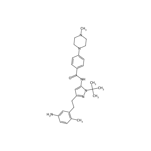 Cc1ccc(N)cc1CCc1cc(NC(=O)c2ccc(N3CCN(C)CC3)cc2)n(C(C)(C)C)n1